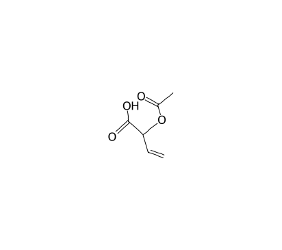 C=CC(OC(C)=O)C(=O)O